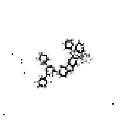 C[Si]1(C)c2ccccc2P(=O)(c2ccccc2)c2cc3c(cc21)sc1ccc(-c2nc(-c4ccccc4)nc(-c4ccccc4)n2)cc13